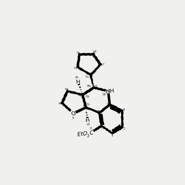 CCOC(=O)c1cccc2c1[C@H]1OCC[C@H]1[C@@H](C1CCCC1)N2